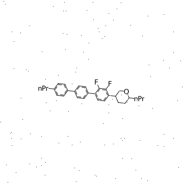 CCCc1ccc(-c2ccc(-c3ccc(C4CCC(CCC)OC4)c(F)c3F)cc2)cc1